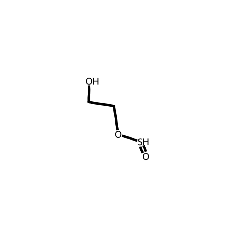 O=[SH]OCCO